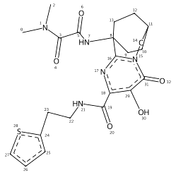 CN(C)C(=O)C(=O)NC12CCC(CC1)Cn1c2nc(C(=O)NCCc2cccs2)c(O)c1=O